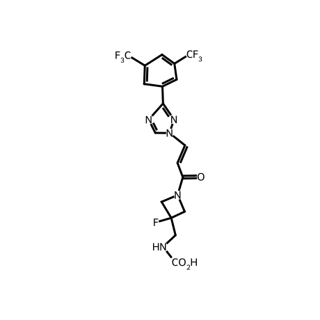 O=C(O)NCC1(F)CN(C(=O)C=Cn2cnc(-c3cc(C(F)(F)F)cc(C(F)(F)F)c3)n2)C1